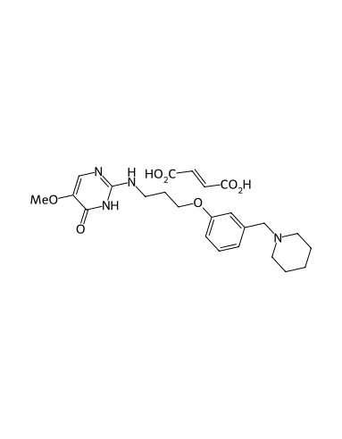 COc1cnc(NCCCOc2cccc(CN3CCCCC3)c2)[nH]c1=O.O=C(O)C=CC(=O)O